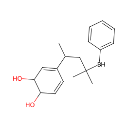 CC(CC(C)(C)Bc1ccccc1)C1=CC(O)C(O)C=C1